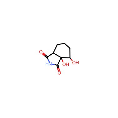 O=C1NC(=O)C2(O)C(O)CCCC12